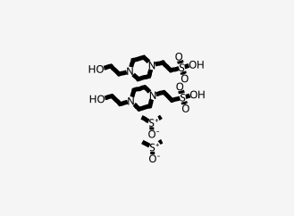 C[S+](C)[O-].C[S+](C)[O-].O=S(=O)(O)CCN1CCN(CCO)CC1.O=S(=O)(O)CCN1CCN(CCO)CC1